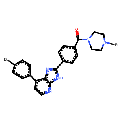 CCc1ccc(-c2ccnc3[nH]c(-c4ccc(C(=O)N5CCN(C(C)C)CC5)cc4)nc23)cc1